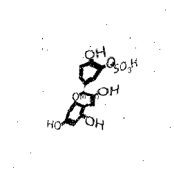 O=S(=O)(O)Oc1cc([C@H]2Oc3cc(O)cc(O)c3C[C@H]2O)ccc1O